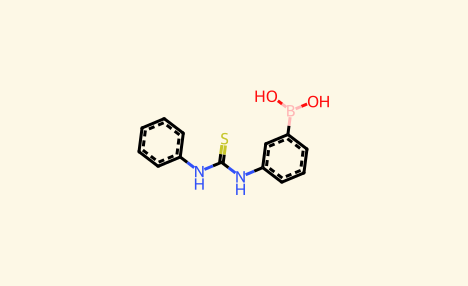 OB(O)c1cccc(NC(=S)Nc2ccccc2)c1